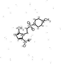 Cc1ncc([N+](=O)[O-])n1CCS(=O)(=O)N1CCN(C)CC1